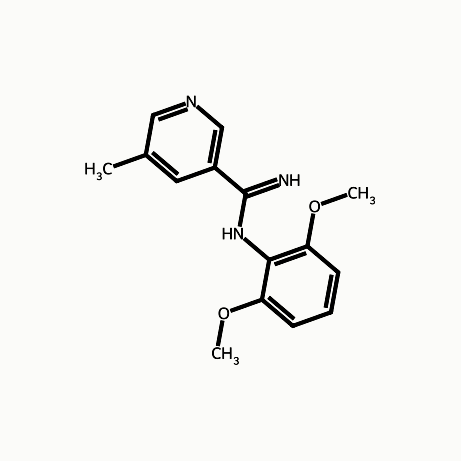 COc1cccc(OC)c1NC(=N)c1cncc(C)c1